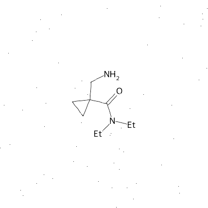 CCN(CC)C(=O)C1(CN)CC1